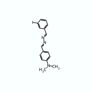 CN(C)c1ccc(/C=N/N=C/c2cccc(I)c2)cc1